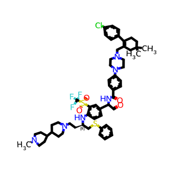 CN1CCC(C2CCN(CC[C@H](CSc3ccccc3)Nc3ccc(C(C=O)NC(=O)c4ccc(N5CCN(CC6=C(c7ccc(Cl)cc7)CCC(C)(C)C6)CC5)cc4)cc3S(=O)(=O)C(F)(F)F)CC2)CC1